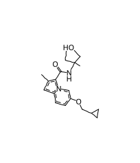 CCC(C)(CO)NC(=O)c1c(C)cc2ccc(OCC3CC3)cn12